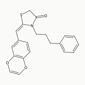 O=C1CSC(=Cc2ccc3c(c2)OC=CO3)N1CCCc1ccccc1